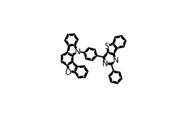 c1ccc(-c2nc(-c3ccc(-n4c5ccccc5c5ccc6oc7ccccc7c6c54)cc3)c3sc4ccccc4c3n2)cc1